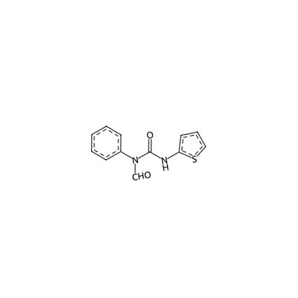 O=CN(C(=O)Nc1cccs1)c1ccccc1